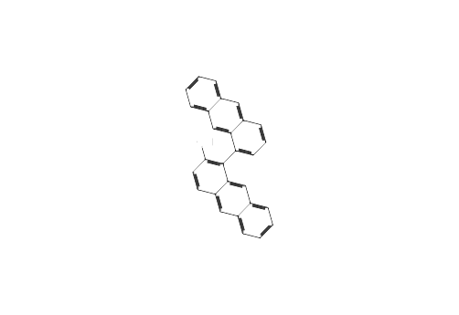 Oc1ccc2cc3ccccc3cc2c1-c1cccc2cc3ccccc3cc12